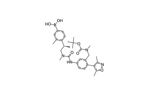 Cc1cc(B(O)O)ccc1[C@@H](C)CN(C)C(=O)Nc1ccc(-c2c(C)noc2C)c(CN(C)C(=O)OC(C)(C)C)c1